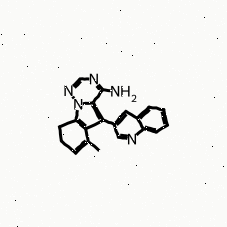 CC1=CCCc2c1c(-c1cnc3ccccc3c1)c1c(N)ncnn21